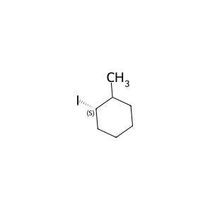 CC1CCCC[C@@H]1I